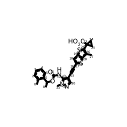 Cc1ccccc1C(C)OC(=O)Nc1c(C#Cc2cc3sc(C4(C(=O)O)CC4)c(C)c3s2)cnn1C